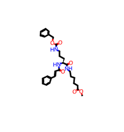 COC(=O)CCCCCNC(=O)[C@H](CCCNC(=O)OCc1ccccc1)NC(=O)C=Cc1ccccc1